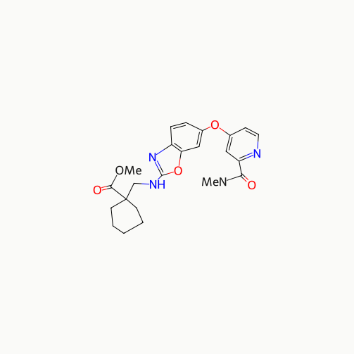 CNC(=O)c1cc(Oc2ccc3nc(NCC4(C(=O)OC)CCCCC4)oc3c2)ccn1